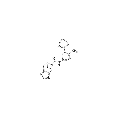 Cc1ccc(NC(=O)N2C3CC2c2ncnn2C3)cc1-c1ccccn1